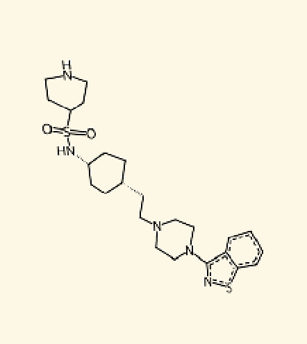 O=S(=O)(N[C@H]1CC[C@@H](CCN2CCN(c3nsc4ccccc34)CC2)CC1)C1CCNCC1